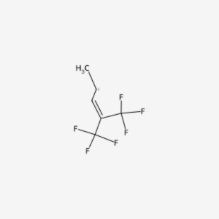 C[C]C=C(C(F)(F)F)C(F)(F)F